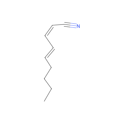 CCCC/C=C/C=C\C#N